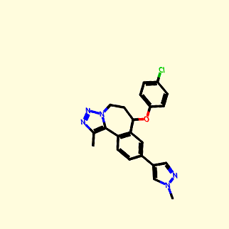 Cc1nnn2c1-c1ccc(-c3cnn(C)c3)cc1C(Oc1ccc(Cl)cc1)CC2